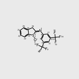 [O-][S+]1C(=Nc2cc(C(F)(F)F)cc(C(F)(F)F)c2)Cc2ccccc21